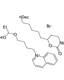 CCC(OC)OCCCC[n+]1cccc2ccccc21.CCCCCCCCCCCCCCCC1CCNC(=O)O1.[Br-]